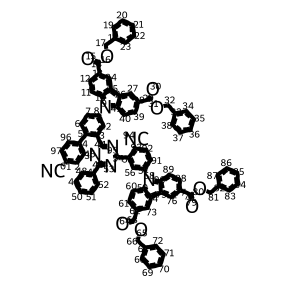 N#Cc1ccc(-c2ccc(-n3c4ccc(C(=O)OCc5ccccc5)cc4c4cc(C(=O)OCc5ccccc5)ccc43)cc2-c2nc(-c3ccccc3)nc(-c3cc(-n4c5ccc(C(=O)OCc6ccccc6)cc5c5cc(C(=O)OCc6ccccc6)ccc54)ccc3C#N)n2)cc1